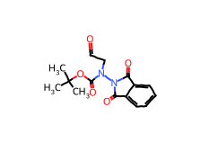 CC(C)(C)OC(=O)N(CC=O)N1C(=O)c2ccccc2C1=O